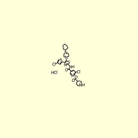 Cl.O=C(Nc1nc(-c2cc(Cl)cs2)c(N2CCN(C3CCCCC3)CC2)s1)c1cnc(OC(=O)C2CCNCC2)c(Cl)c1